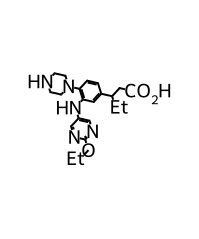 CCOc1ncc(Nc2cc(C(CC)CC(=O)O)ccc2N2CCNCC2)cn1